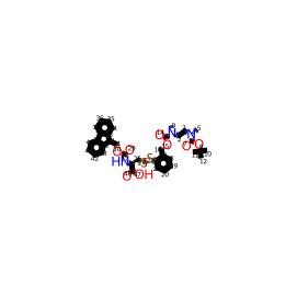 CN(CCN(C)C(=O)OC(C)(C)C)C(=O)OCc1ccccc1SSC[C@H](NC(=O)OCC1c2ccccc2-c2ccccc21)C(=O)O